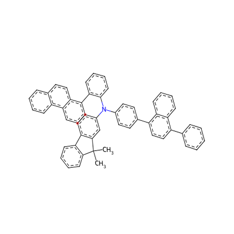 CC1(C)c2ccccc2-c2ccc(N(c3ccc(-c4ccc(-c5ccccc5)c5ccccc45)cc3)c3ccccc3-c3cccc4c3ccc3ccccc34)cc21